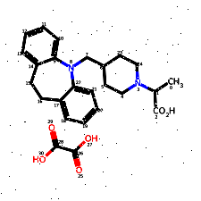 CC(C(=O)O)N1CCC(CN2c3ccccc3CCc3ccccc32)CC1.O=C(O)C(=O)O